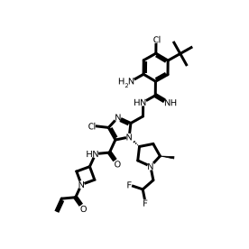 C=CC(=O)N1CC(NC(=O)c2c(Cl)nc(CNC(=N)c3cc(C(C)(C)C)c(Cl)cc3N)n2[C@@H]2C[C@@H](C)N(CC(F)F)C2)C1